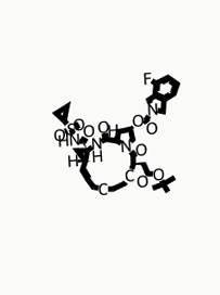 CC(C)(C)OC(=O)C[C@H]1CCCCC/C=C\[C@@H]2C[C@@]2(C(=O)NS(=O)(=O)C2CC2)NC(=O)[C@@H]2C[C@@H](OC(=O)N3Cc4cccc(F)c4C3)CN2C1=O